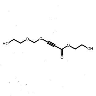 O=C(C#COCOCCO)OCCO